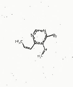 C=Nc1c(/C=C\C)ncnc1C(C)C